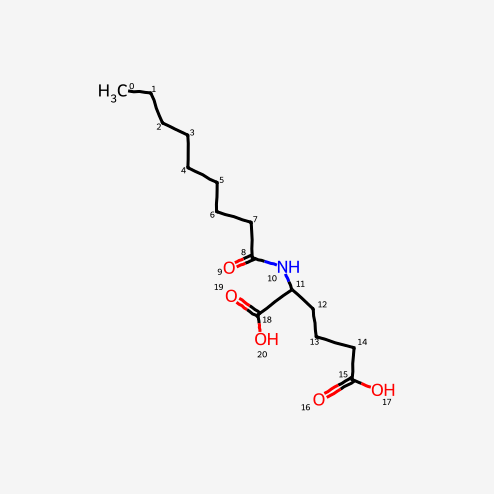 CCCCCCCCC(=O)NC(CCCC(=O)O)C(=O)O